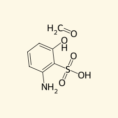 C=O.Nc1cccc(O)c1S(=O)(=O)O